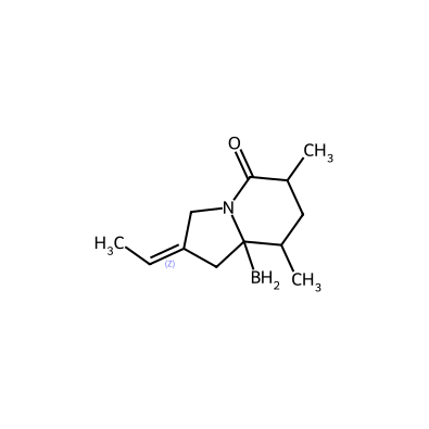 BC12C/C(=C/C)CN1C(=O)C(C)CC2C